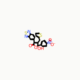 O=C1OC(O)(c2ccc([N+](=O)[O-])cc2)C(Cc2cccs2)=C1c1ccc2nsnc2c1